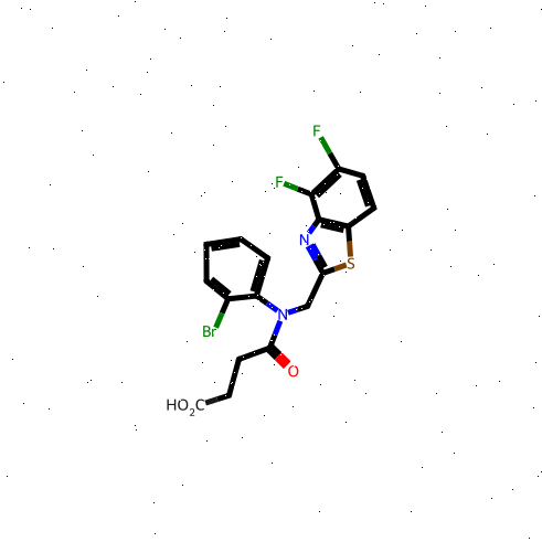 O=C(O)CCC(=O)N(Cc1nc2c(F)c(F)ccc2s1)c1ccccc1Br